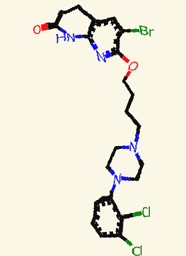 O=C1CCc2cc(Br)c(OCCCCN3CCN(c4cccc(Cl)c4Cl)CC3)nc2N1